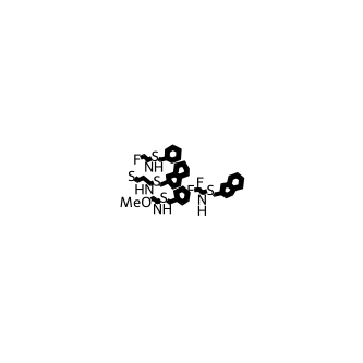 COCC(=N)SCc1ccccc1.N=C(CC=S)SCc1ccc2ccccc2c1.N=C(CF)SCc1ccccc1.N=C(SCc1ccc2ccccc2c1)C(F)F